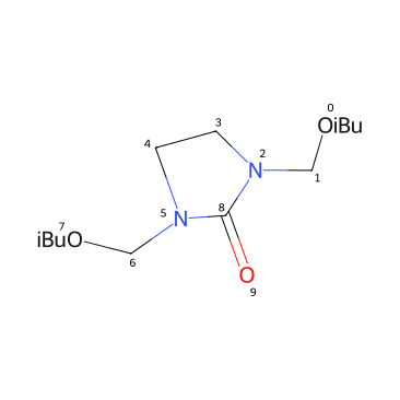 CC(C)COCN1CCN(COCC(C)C)C1=O